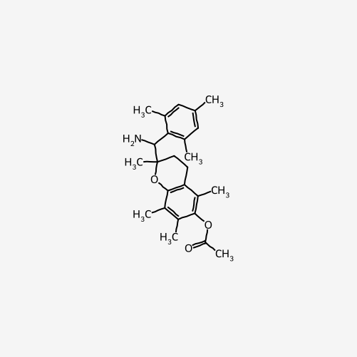 CC(=O)Oc1c(C)c(C)c2c(c1C)CCC(C)(C(N)c1c(C)cc(C)cc1C)O2